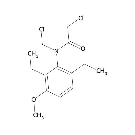 CCc1ccc(OC)c(CC)c1N(CCl)C(=O)CCl